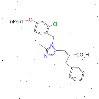 CCCCCOc1ccc(Cn2c(/C=C(\Cc3ccccc3)C(=O)O)cnc2C)c(Cl)c1